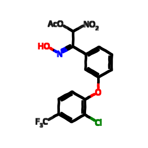 CC(=O)OC(C(=NO)c1cccc(Oc2ccc(C(F)(F)F)cc2Cl)c1)[N+](=O)[O-]